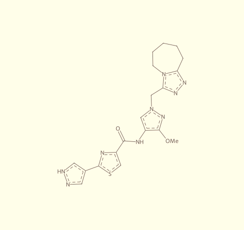 COc1nn(Cc2nnc3n2CCCCC3)cc1NC(=O)c1csc(-c2cn[nH]c2)n1